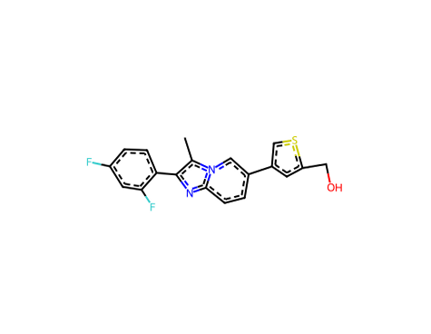 Cc1c(-c2ccc(F)cc2F)nc2ccc(-c3csc(CO)c3)cn12